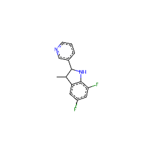 CC1c2cc(F)cc(F)c2NC1c1cccnc1